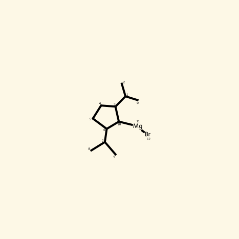 CC(C)C1CCC(C(C)C)[CH]1[Mg][Br]